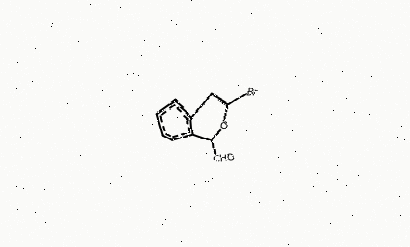 O=CC1OC(Br)Cc2ccccc21